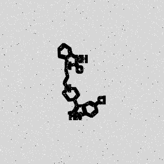 Cc1[nH]c2ccc(Cl)cc2c1C1CCN(CCCn2c(=O)[nH]c3ccccc32)CC1